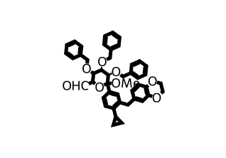 COC1(c2ccc(C3CC3)c(Cc3ccc4c(c3)OCCO4)c2)OC(C=O)C(OCc2ccccc2)[C@H](OCc2ccccc2)[C@H]1OCc1ccccc1